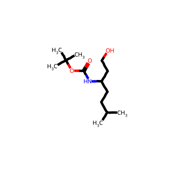 CC(C)CCC(CCO)NC(=O)OC(C)(C)C